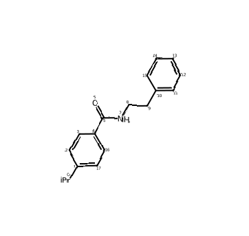 CC(C)c1ccc(C(=O)NCCc2ccccc2)cc1